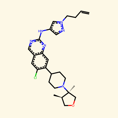 C=CCCn1cc(Nc2ncc3cc(Cl)c(C4CCN([C@@]5(C)COC[C@H]5C)CC4)cc3n2)cn1